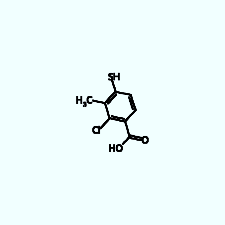 Cc1c(S)ccc(C(=O)O)c1Cl